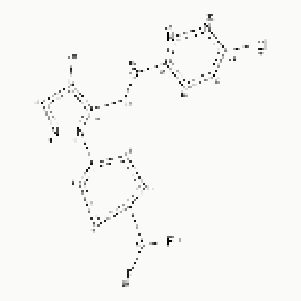 Cc1cnn(-c2ccc(C(F)F)cc2)c1COc1ccc(Cl)nn1